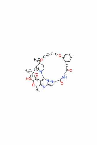 Cc1nc2cc3nn2c(c1[C@H](OC(C)(C)C)C(=O)O)N1CCC(C)(CC1)OCCCCOc1ccccc1CC(=O)CNC3=O